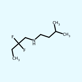 CCC(F)(F)CNCCC(C)C